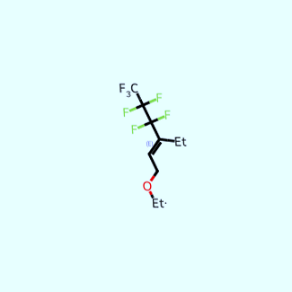 C[CH]OC/C=C(\CC)C(F)(F)C(F)(F)C(F)(F)F